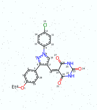 CCOc1ccc(-c2nn(-c3ccc(Cl)cc3)cc2C=C2C(=O)NC(=O)NC2=O)cc1